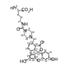 CCCC(CCCNC(=O)N1CCN(Cc2cccc3c2C(=O)OC32c3ccc(O)cc3Oc3cc(O)ccc32)CC1)C(=O)O